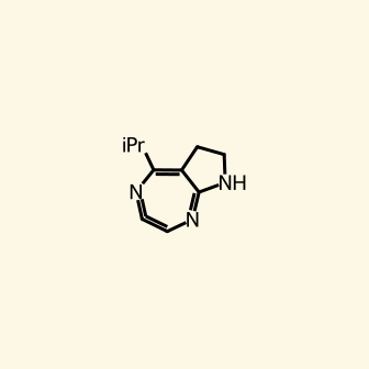 CC(C)C1=C2CCNC2=NC=C=N1